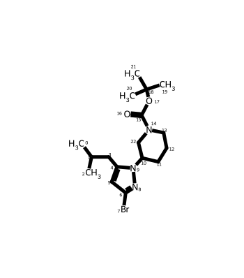 CC(C)Cc1cc(Br)nn1C1CCCN(C(=O)OC(C)(C)C)C1